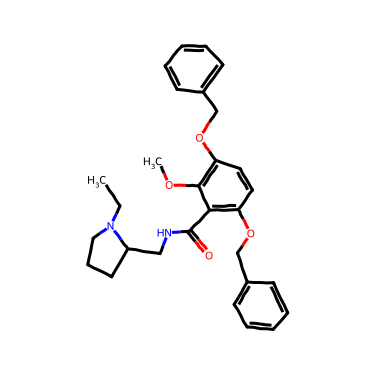 CCN1CCCC1CNC(=O)c1c(OCc2ccccc2)ccc(OCc2ccccc2)c1OC